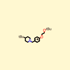 CC(C)(C)OCCOC12CCC(CN3CCC(C(C)(C)C)CC3)(CC1)CC2